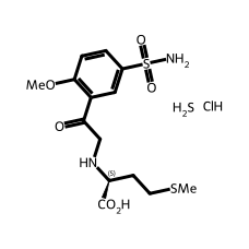 COc1ccc(S(N)(=O)=O)cc1C(=O)CN[C@@H](CCSC)C(=O)O.Cl.S